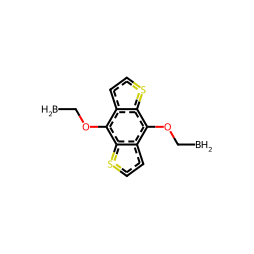 BCOc1c2ccsc2c(OCB)c2ccsc12